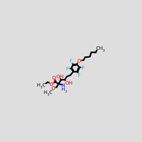 CCCCCCOc1c(F)c(F)c(CCC(O)C(O)C(N)(COC)C(=O)OCC)c(F)c1F